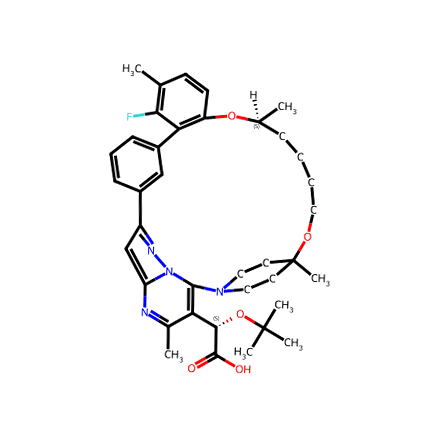 Cc1ccc2c(c1F)-c1cccc(c1)-c1cc3nc(C)c([C@H](OC(C)(C)C)C(=O)O)c(n3n1)N1CCC(C)(CC1)OCCCC[C@H](C)O2